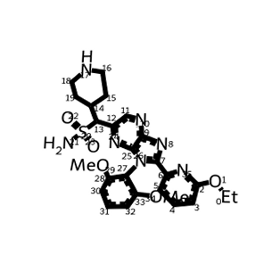 CCOc1cccc(-c2nc3ncc(C(C4CCNCC4)S(N)(=O)=O)nc3n2-c2c(OC)cccc2OC)n1